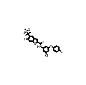 CC(C)(c1cc2cc(C(=O)Nc3cc(Cl)cc(Oc4ccc(Cl)cc4)c3)sc2cc1F)S(C)(=O)=O